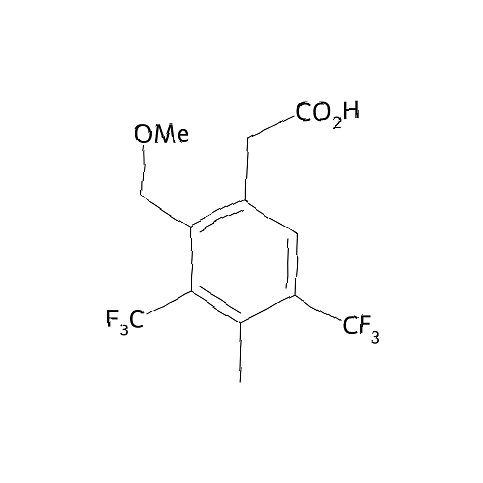 COCc1c(CC(=O)O)cc(C(F)(F)F)c(C)c1C(F)(F)F